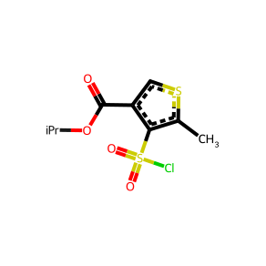 Cc1scc(C(=O)OC(C)C)c1S(=O)(=O)Cl